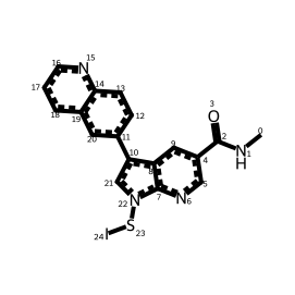 CNC(=O)c1cnc2c(c1)c(-c1ccc3ncccc3c1)cn2SI